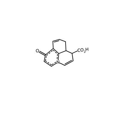 O=C(O)C1C=Cn2ccc(=O)c3c2C1CC=C3